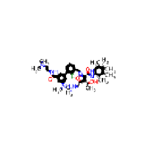 C[C@@H]1[C@@H](NC(=O)[C@@H]2[C@H]([C@H](C)O)[C@H](CN)ON2Cc2cccc(-c3cc(C(=O)NCCN(C)C)cc(N(C)C)c3)c2F)C[C@@H](C)C(C)(C)[C@H]1C